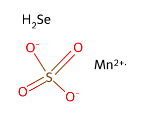 O=S(=O)([O-])[O-].[Mn+2].[SeH2]